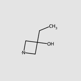 CCC1(O)C[N]C1